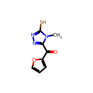 Cn1c(S)nnc1C(=O)c1ccco1